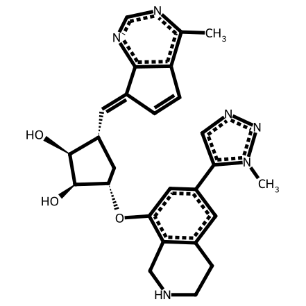 Cc1ncnc2c1C=CC2=C[C@@H]1C[C@H](Oc2cc(-c3cnnn3C)cc3c2CNCC3)[C@@H](O)[C@H]1O